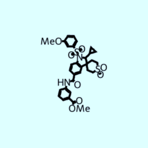 COC(=O)c1cccc(NC(=O)c2ccc3c(c2)C2(CCS(=O)(=O)CC2)C(C2CC2)N3S(=O)(=O)c2cccc(OC)c2)c1